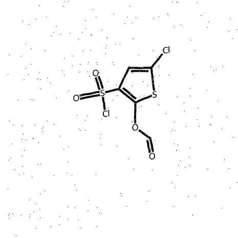 O=COc1sc(Cl)cc1S(=O)(=O)Cl